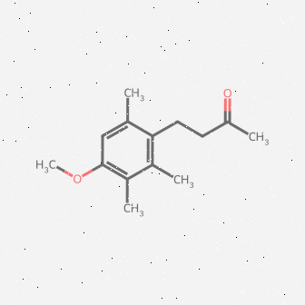 COc1cc(C)c(CCC(C)=O)c(C)c1C